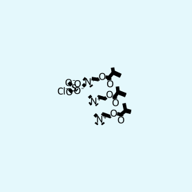 C=C(C)C(=O)OCC[N+](C)(C)C.C=C(C)C(=O)OCC[N+](C)(C)C.C=C(C)C(=O)OCC[N+](C)(C)C.O=S(=O)([O-])[O-].[Cl-]